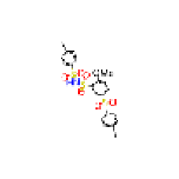 COc1ccc(S(=O)(=O)c2ccc(C)cc2)cc1S(=O)(=O)NS(=O)(=O)c1ccc(C)cc1